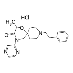 CC1OC2(CCN(CCc3ccccc3)CC2)CN(c2cnccn2)C1=O.Cl